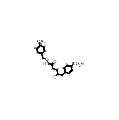 CCOC(=O)c1ccc(CC(C)CCC(=O)NOCc2ccc(OC(C)=O)cc2)cc1